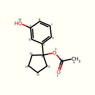 CC(=O)OC1(c2cccc(O)c2)CCCC1